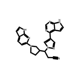 N#CCC(C1CCN(c2ccc3cc[nH]c3n2)C1)n1cc(-c2ncnc3[nH]ccc23)cn1